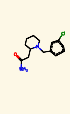 NC(=O)CC1CCCCN1Cc1cccc(Cl)c1